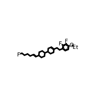 CCOc1ccc(CCC2=CCC(C3CCC(/C=C/CCCCF)CC3)CC2)c(F)c1F